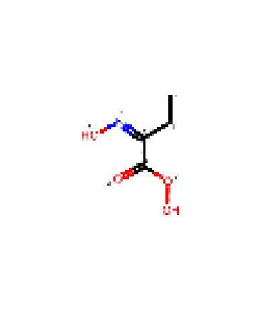 CCC(=NO)C(=O)OO